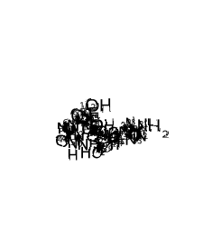 Nc1nc2c(ncn2[C@@H]2O[C@H](CO)C(F)(F)[C@H]2OP(=O)(O)OC[C@H]2O[C@@H](n3cnc4c(N)ncnc43)[C@@H](F)[C@@H]2O[PH](O)=S)c(=O)[nH]1